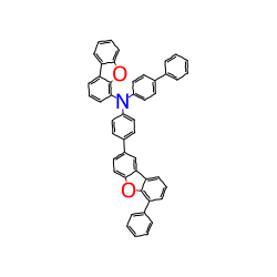 c1ccc(-c2ccc(N(c3ccc(-c4ccc5oc6c(-c7ccccc7)cccc6c5c4)cc3)c3cccc4c3oc3ccccc34)cc2)cc1